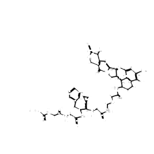 C=C(CCCCCC)NCC(=O)NCC(=C)NC(Cc1ccccc1)C(NCC(=C)NCOCC(=O)NC1CCc2c(Cl)c(F)cc3nc4c(c1c23)Cn1c-4cc2c(c1=O)COC(=C)C2CC)=C1CC1